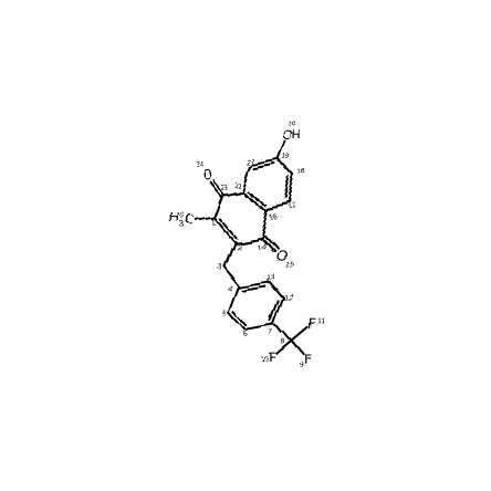 CC1=C(Cc2ccc(C(F)(F)F)cc2)C(=O)c2ccc(O)cc2C1=O